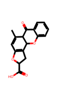 CC1=CC2=C(CC(C(=O)O)O2)C2Oc3ccccc3C(=O)C12